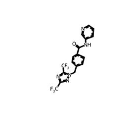 O=C(Nc1cccnc1)c1ccc(Cn2nc(C(F)(F)F)nc2C(F)(F)F)cc1